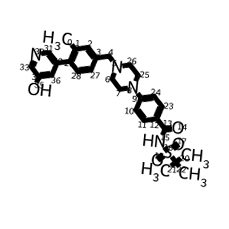 Cc1cc(CN2CCN(c3ccc(C(=O)NS(=O)(=O)C(C)(C)C)cc3)CC2)ccc1-c1cncc(O)c1